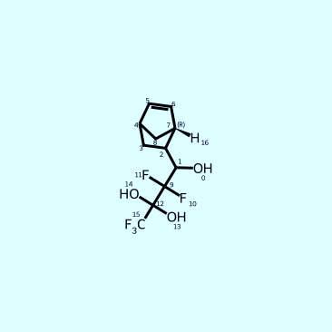 OC(C1CC2C=C[C@H]1C2)C(F)(F)C(O)(O)C(F)(F)F